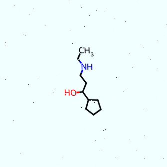 CCNCCC(O)C1CCCC1